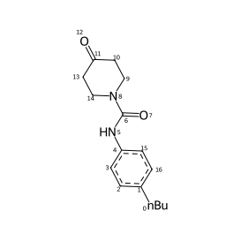 CCCCc1ccc(NC(=O)N2CCC(=O)CC2)cc1